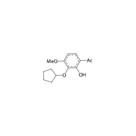 COc1ccc(C(C)=O)c(O)c1OC1CCCC1